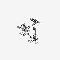 CCCN(CCC)C(=O)C(CCC(=O)OCCCN1CCN(CCOC(=O)Cc2c(C)n(C(=O)c3ccc(Cl)cc3)c3ccc(OC)cc23)CC1)NC(=O)c1ccccc1.Cc1cccc(C)c1OCC(=O)N[C@@H](Cc1ccccc1)[C@@H](O)C[C@H](Cc1ccccc1)NC(=O)[C@H](C(C)C)N1CCCNC1=O